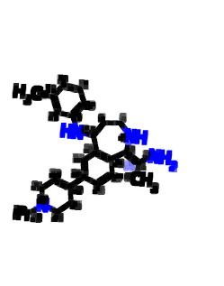 C/C(N)=C1/NCCC(Nc2cccc(C)c2)c2cc(C3=CCN(C(C)C)CC3)ccc21